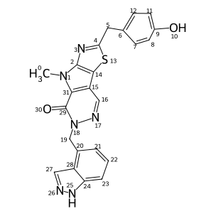 Cn1c2nc(Cc3ccc(O)cc3)sc2c2cnn(Cc3cccc4[nH]ncc34)c(=O)c21